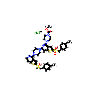 CC(C)(C)OC(=O)N1CCN(c2nccc3sc(S(=O)(=O)Cc4ccc(C(F)(F)F)cc4)cc23)CC1.Cl.O=S(=O)(Cc1ccc(C(F)(F)F)cc1)c1cc2c(N3CCNCC3)nccc2s1